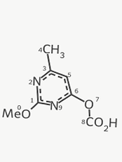 COc1nc(C)cc(OC(=O)O)n1